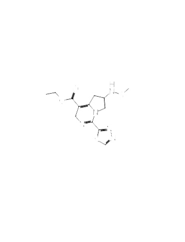 CCOC(=O)C1=C2CC(NSC)CN2C(c2nncs2)=NC1